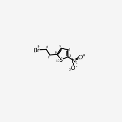 O=[N+]([O-])c1ccc(CCBr)s1